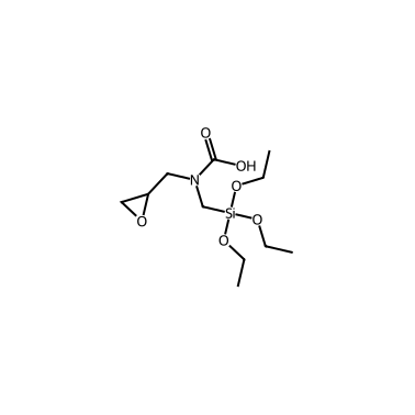 CCO[Si](CN(CC1CO1)C(=O)O)(OCC)OCC